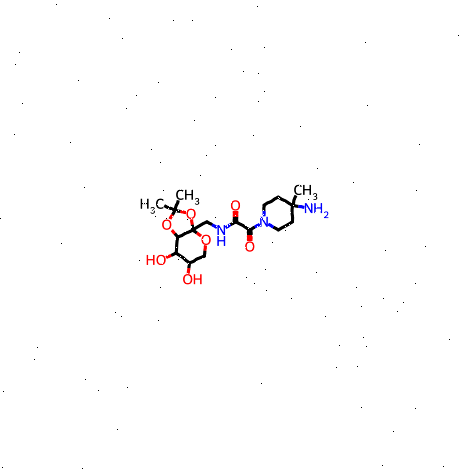 CC1(N)CCN(C(=O)C(=O)NCC23OCC(O)C(O)C2OC(C)(C)O3)CC1